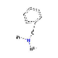 CCCN(Cc1ccccc1)C(C)C